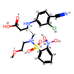 COCCN(C[C@H](CC(=O)O)Nc1ccc(C#N)c(Cl)c1)S(=O)(=O)c1ccccc1[N+](=O)[O-]